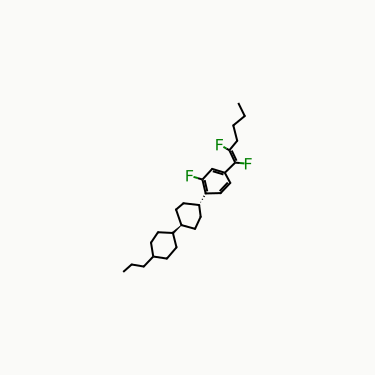 CCCC/C(F)=C(\F)c1ccc([C@H]2CC[C@H](C3CCC(CCC)CC3)CC2)c(F)c1